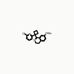 COc1ccc2c(c1)C(C1(c3cccc(Cl)n3)CCC1)=NCC2